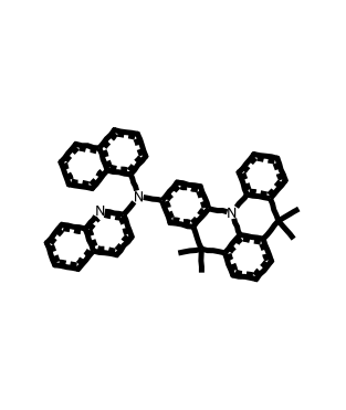 CC1(C)c2ccccc2N2c3ccc(N(c4ccc5ccccc5n4)c4cccc5ccccc45)cc3C(C)(C)c3cccc1c32